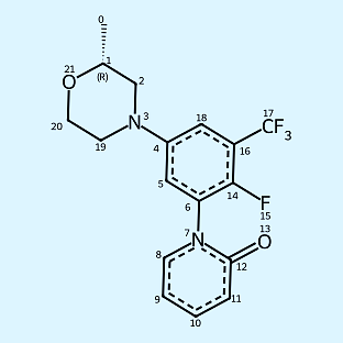 C[C@@H]1CN(c2cc(-n3ccccc3=O)c(F)c(C(F)(F)F)c2)CCO1